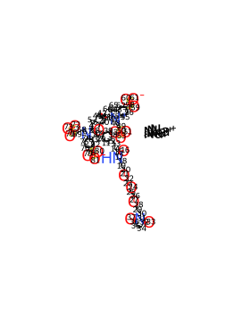 CC1(C)C(=C2CC23C(Oc2ccc(CCC(=O)NCCCOCCOCCOCCCN4C(=O)C=CC4=O)cc2)=C2CCC3C=C2C2=[N+](CCS(=O)(=O)[O-])c3ccc(S(=O)(=O)[O-])cc3C2(C)C)N(CCS(=O)(=O)[O-])c2ccc(S(=O)(=O)[O-])cc21.[Na+].[Na+].[Na+]